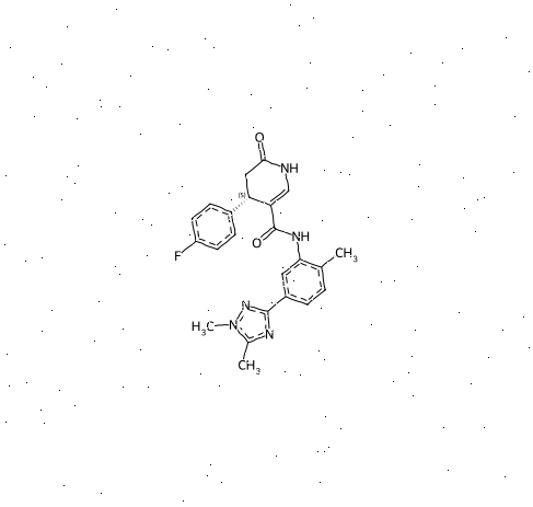 Cc1ccc(-c2nc(C)n(C)n2)cc1NC(=O)C1=CNC(=O)C[C@H]1c1ccc(F)cc1